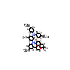 CC(C)c1cc2c3c(c1)N(c1ccc(C(C)(C)C)cc1-c1ccccc1)c1cc4c(cc1B3c1cc(C(C)(C)C)ccc1N2c1ccc(C(C)(C)C)cc1)CC(C)(C)C4